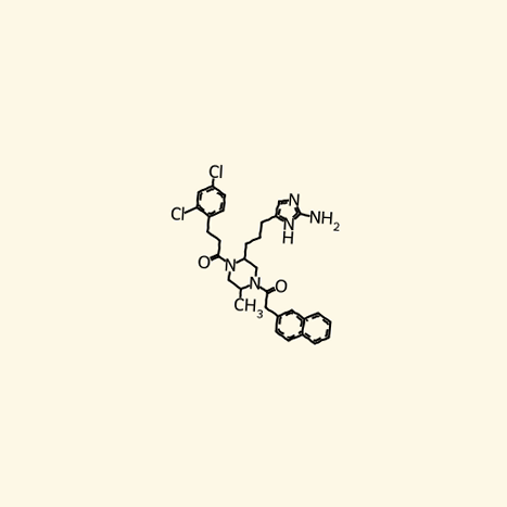 CC1CN(C(=O)CCc2ccc(Cl)cc2Cl)C(CCCc2cnc(N)[nH]2)CN1C(=O)Cc1ccc2ccccc2c1